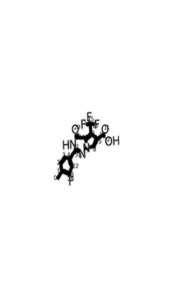 Cc1ccc(-c2nn3cc(C(=O)O)c(C(F)(F)F)c3c(=O)[nH]2)cc1F